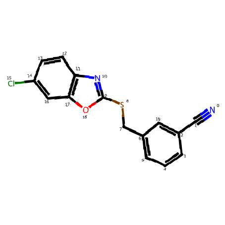 N#Cc1cccc(CSc2nc3ccc(Cl)cc3o2)c1